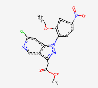 COC(=O)c1nn(-c2ccc([N+](=O)[O-])cc2OC)c2cc(Cl)ncc12